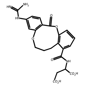 N=C(N)Nc1ccc2c(c1)OCCCc1c(cccc1C(=O)NC(CC(=O)O)C(=O)O)OC2=O